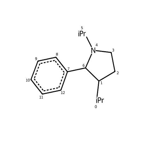 CC(C)C1CCN(C(C)C)C1c1ccccc1